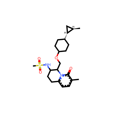 Cc1ccc2n(c1=O)C(COC1CCC([C@@H]3C[C@H]3C)CC1)C(NS(C)(=O)=O)CC2